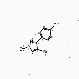 CCn1cc(Br)c(-c2ccc(F)cc2)n1